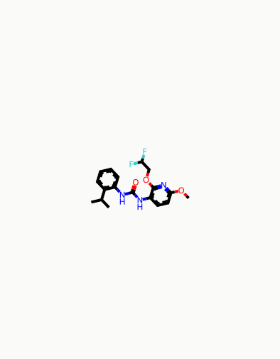 COc1ccc(NC(=O)Nc2ccccc2C(C)C)c(OCC(F)F)n1